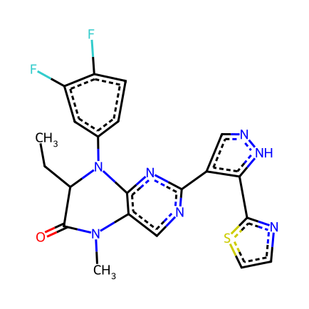 CCC1C(=O)N(C)c2cnc(-c3cn[nH]c3-c3nccs3)nc2N1c1ccc(F)c(F)c1